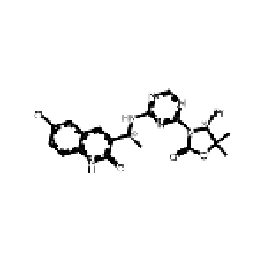 CC(C)[C@@H]1N(c2ncnc(N[C@@H](C)c3cc4cc(Cl)ccc4[nH]c3=O)n2)C(=O)OC1(C)C